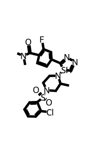 CC1CN(S(=O)(=O)c2ccccc2Cl)CCN1[SH]1C=NN=C1c1ccc(C(=O)N(C)C)c(F)c1